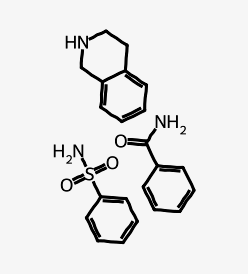 NC(=O)c1ccccc1.NS(=O)(=O)c1ccccc1.c1ccc2c(c1)CCNC2